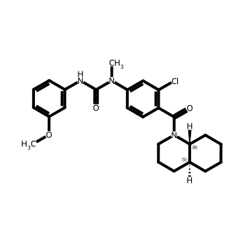 COc1cccc(NC(=O)N(C)c2ccc(C(=O)N3CCC[C@@H]4CCCC[C@H]43)c(Cl)c2)c1